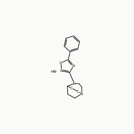 Br.c1ccc(-c2nc(N3CCN4CCC3CC4)no2)cc1